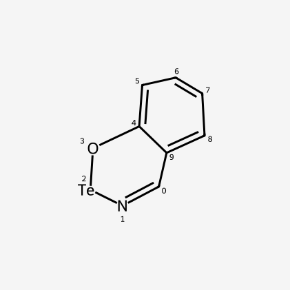 C1=N[Te]Oc2ccccc21